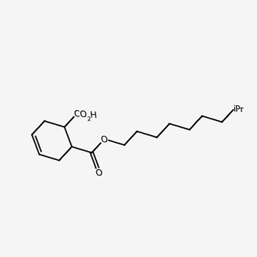 CC(C)CCCCCCCOC(=O)C1CC=CCC1C(=O)O